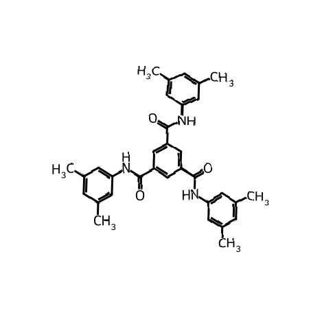 Cc1cc(C)cc(NC(=O)c2cc(C(=O)Nc3cc(C)cc(C)c3)cc(C(=O)Nc3cc(C)cc(C)c3)c2)c1